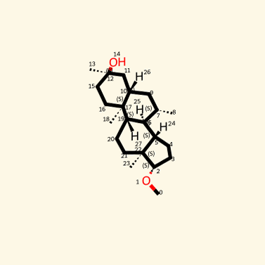 CO[C@H]1CC[C@H]2[C@@H]3[C@@H](C)C[C@H]4C[C@](C)(O)CC[C@]4(C)[C@H]3CC[C@]12C